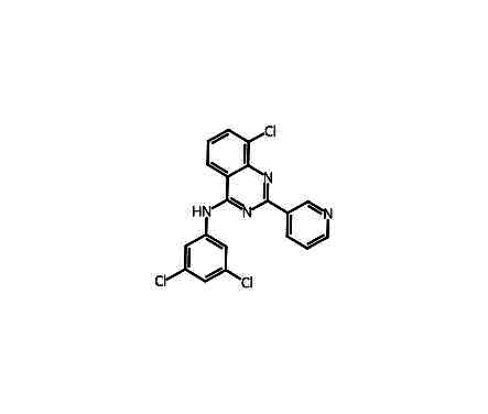 Clc1cc(Cl)cc(Nc2nc(-c3cccnc3)nc3c(Cl)cccc23)c1